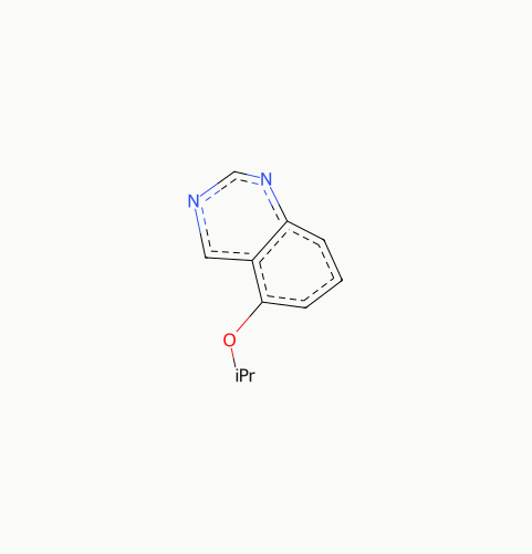 CC(C)Oc1cccc2ncncc12